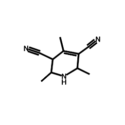 CC1=C(C#N)C(C)NC(C)C1C#N